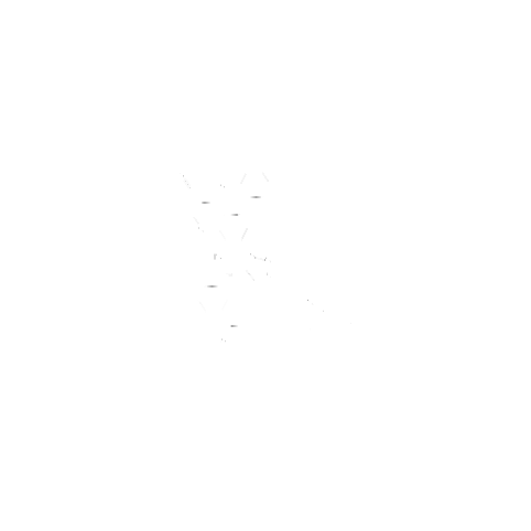 CC(C)(C)N1CCC(n2cc([C@@H](Nc3cc(Cl)cc4c(Nc5ccc(F)c(Cl)c5)c(C#N)cnc34)c3cccc(C(=O)N4CC(F)C4)c3)nn2)CC1